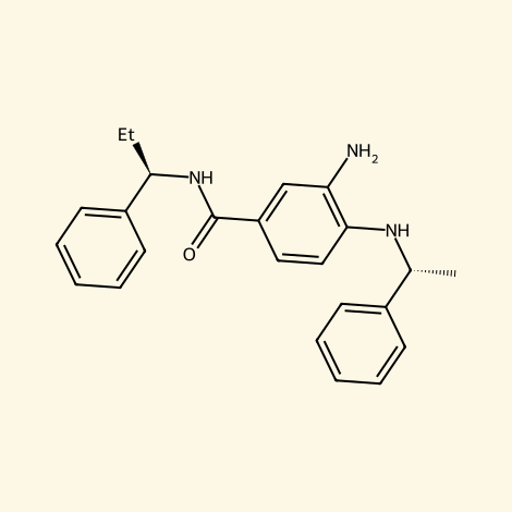 CC[C@@H](NC(=O)c1ccc(N[C@H](C)c2ccccc2)c(N)c1)c1ccccc1